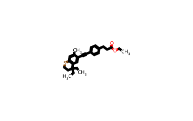 CCOC(=O)CCc1ccc(C#Cc2cc3c(cc2C)SCCC3(CC)CC)cc1